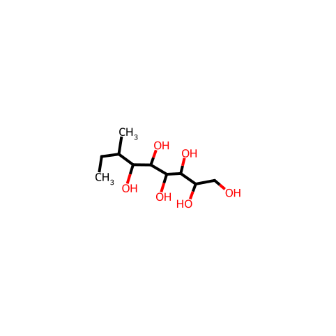 CCC(C)C(O)C(O)C(O)C(O)C(O)CO